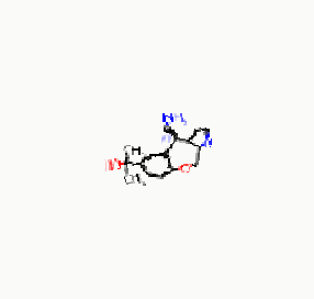 CC(C)(O)c1ccc2c(c1)/C(=C/N)C1=CC=NC1CO2